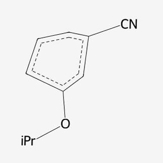 CC(C)Oc1cccc(C#N)c1